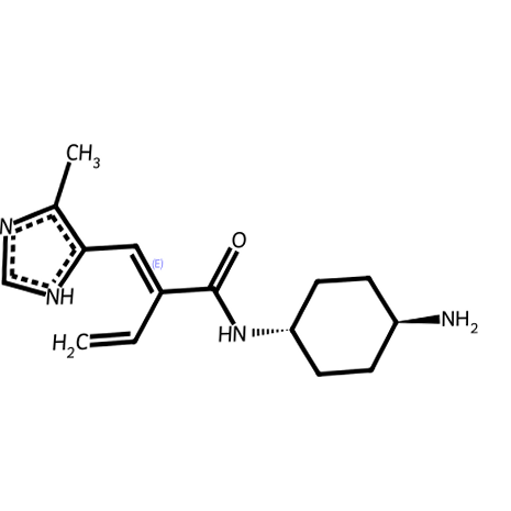 C=C/C(=C\c1[nH]cnc1C)C(=O)N[C@H]1CC[C@H](N)CC1